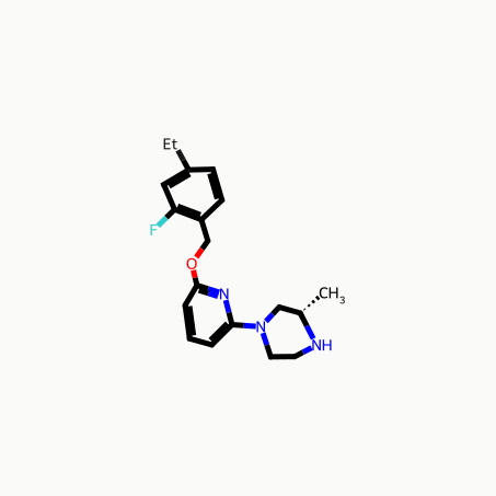 CCc1ccc(COc2cccc(N3CCN[C@@H](C)C3)n2)c(F)c1